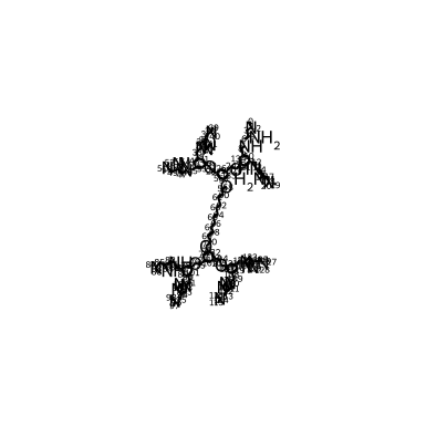 CN(C)C/C(N)=C/NCc1cc(CN/C=C(\N)CN(C)C)cc(OCc2cc(COc3cc(Cn4cc(CN(C)C)nn4)cc(Cn4cc(CN(C)C)nn4)c3)cc(OC/C=C/CC/C=C/CC/C=C/COc3cc(COc4cc(CN/C=C(\N)CN(C)C)cc(Cn5cc(CN(C)C)nn5)c4)cc(COc4cc(Cn5cc(CN(C)C)nn5)cc(Cn5cc(CN(C)C)nn5)c4)c3)c2)c1